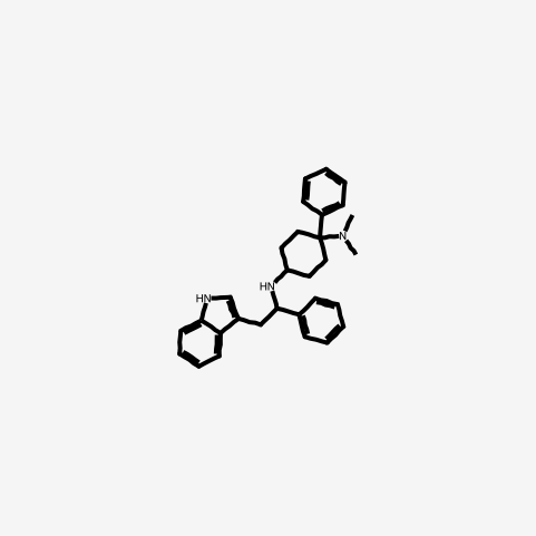 CN(C)C1(c2ccccc2)CCC(NC(Cc2c[nH]c3ccccc23)c2ccccc2)CC1